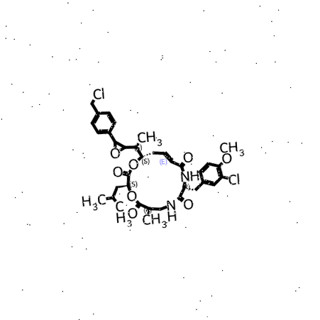 COc1ccc(C[C@H]2NC(=O)/C=C/C[C@@H]([C@H](C)C3OC3c3ccc(CCl)cc3)OC(=O)[C@H](CC(C)C)OC(=O)[C@H](C)CNC2=O)cc1Cl